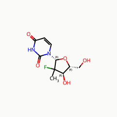 CC1(F)[C@H](O)[C@@H](CO)O[C@H]1n1ccc(=O)[nH]c1=O